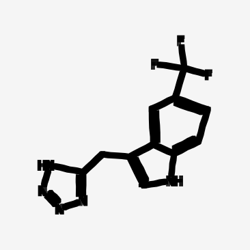 FC(F)(F)c1ccc2[nH][c]c(Cc3nnn[nH]3)c2c1